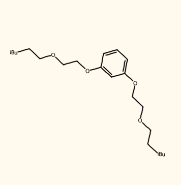 CCC(C)CCOCCOc1cccc(OCCOCCC(C)CC)c1